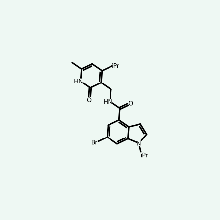 Cc1cc(C(C)C)c(CNC(=O)c2cc(Br)cc3c2ccn3C(C)C)c(=O)[nH]1